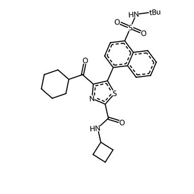 CC(C)(C)NS(=O)(=O)c1ccc(-c2sc(C(=O)NC3CCC3)nc2C(=O)C2CCCCC2)c2ccccc12